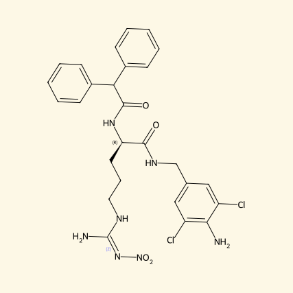 N/C(=N/[N+](=O)[O-])NCCC[C@@H](NC(=O)C(c1ccccc1)c1ccccc1)C(=O)NCc1cc(Cl)c(N)c(Cl)c1